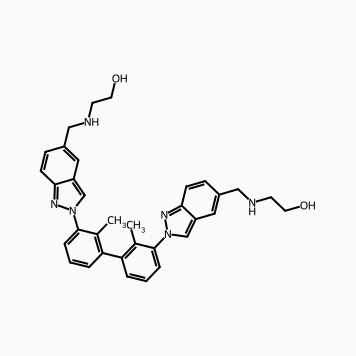 Cc1c(-c2cccc(-n3cc4cc(CNCCO)ccc4n3)c2C)cccc1-n1cc2cc(CNCCO)ccc2n1